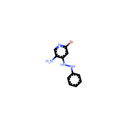 Nc1cnc(Br)cc1NNc1ccccc1